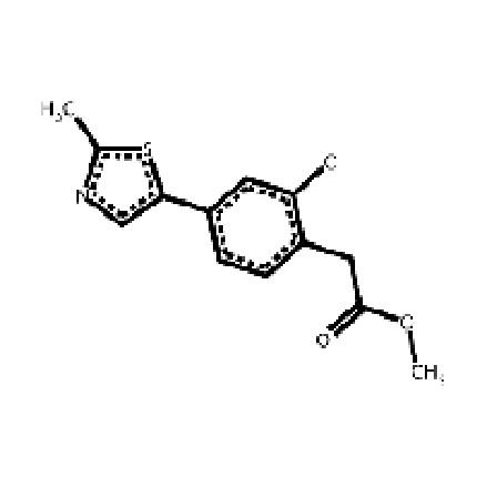 COC(=O)Cc1ccc(-c2cnc(C)s2)cc1Cl